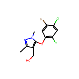 Cc1nn(C)c(Oc2cc(Br)c(Cl)cc2Cl)c1CO